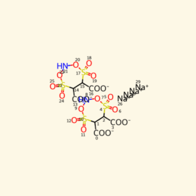 O=C([O-])C1C(C(=O)[O-])S(=O)(=O)ONOS1(=O)=O.O=C([O-])C1C(C(=O)[O-])S(=O)(=O)ONOS1(=O)=O.[Na+].[Na+].[Na+].[Na+]